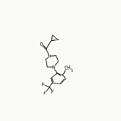 Cc1ccc(C(F)(F)F)cc1N1CCN(C(=O)C2CC2)CC1